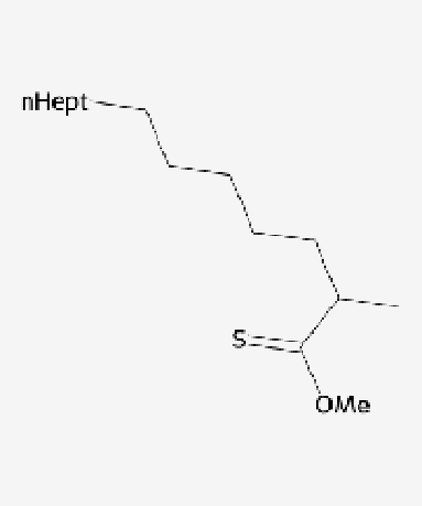 CCCCCCCCCCCCC(C)C(=S)OC